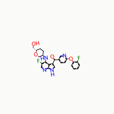 O=C(c1ccc(Oc2ccccc2F)nc1)c1c[nH]c2ncc(F)c(N[C@@H]3CC[C@@H](CO)OC3)c12